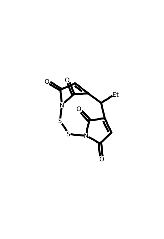 CCC1C2=CC(=O)N(SSN3C(=O)C=C1C3=O)C2=O